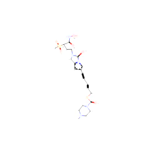 CN1CCN(C(=O)OCC#CC#Cc2cc3n(c2)C(=O)N(CC[C@](C)(C(=O)NO)S(C)(=O)=O)C3)CC1